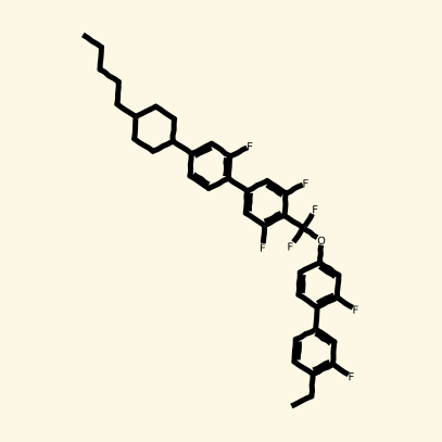 CCCCCC1CCC(c2ccc(-c3cc(F)c(C(F)(F)Oc4ccc(-c5ccc(CC)c(F)c5)c(F)c4)c(F)c3)c(F)c2)CC1